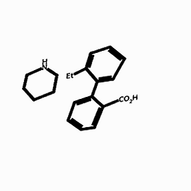 C1CCNCC1.CCc1ccccc1-c1ccccc1C(=O)O